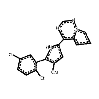 CCc1ccc(Cl)cc1-c1[nH]c(-c2ncnn3cccc23)cc1C#N